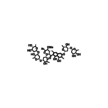 CO[C@H](C(=O)C(C)=O)[C@@H]1Cc2cc3cc(O[C@H]4C[C@@H](O[C@H]5CC(O)[C@H](O)C(C)O5)[C@H](O)C(C)O4)c(C)c(O)c3c(O)c2C(=O)[C@H]1O[C@H]1C[C@@H](O[C@H]2CC(O[C@H]3C[C@@H](O)[C@H](O)C(C)O3)[C@@H](O)C(C)O2)[C@H](O)C(C)O1